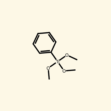 C[O][Ti]([O]C)([O]C)[c]1ccccc1